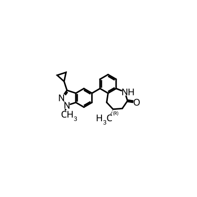 C[C@H]1CC(=O)Nc2cccc(-c3ccc4c(c3)c(C3CC3)nn4C)c2C1